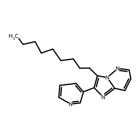 CCCCCCCCCc1c(-c2cccnc2)nc2cccnn12